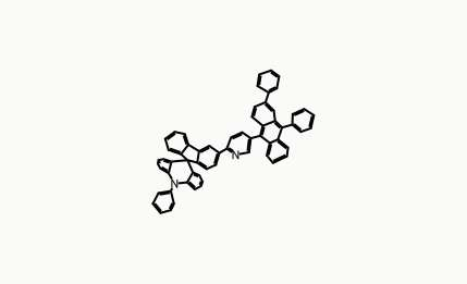 c1ccc(-c2ccc3c(-c4ccc(-c5ccc6c(c5)-c5ccccc5C65c6ccccc6N(c6ccccc6)c6ccccc65)nc4)c4ccccc4c(-c4ccccc4)c3c2)cc1